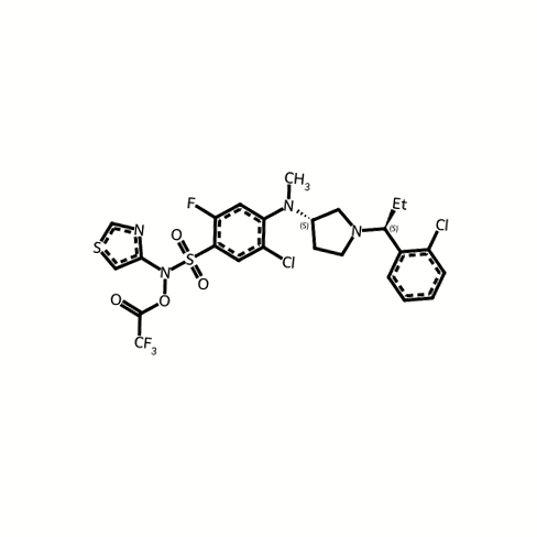 CC[C@@H](c1ccccc1Cl)N1CC[C@H](N(C)c2cc(F)c(S(=O)(=O)N(OC(=O)C(F)(F)F)c3cscn3)cc2Cl)C1